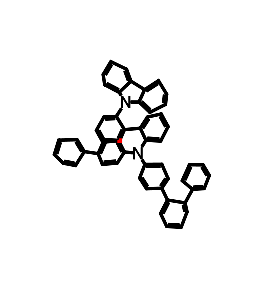 c1ccc(-c2ccc(N(c3ccc(-c4ccccc4-c4ccccc4)cc3)c3ccccc3-c3ccccc3-n3c4ccccc4c4ccccc43)cc2)cc1